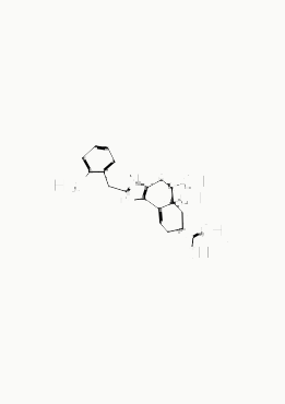 C=C(C)[C@@H]1CC=C2c3sc(Cc4ccccc4C)nc3C[C@@H](C)[C@]2(C)C1